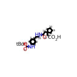 CC(C)(C)OC(=O)Nc1ccc(CCNC(=O)CC2(CC(=O)O)CCCC2)cc1